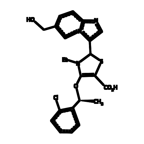 CCN1C(O[C@H](C)c2ccccc2Cl)=C(C(=O)O)SC1c1cnc2ccc(CO)cn12